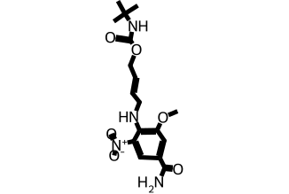 COc1cc(C(N)=O)cc([N+](=O)[O-])c1NC/C=C/COC(=O)NC(C)(C)C